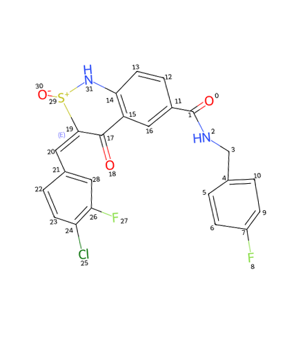 O=C(NCc1ccc(F)cc1)c1ccc2c(c1)C(=O)/C(=C\c1ccc(Cl)c(F)c1)[S+]([O-])N2